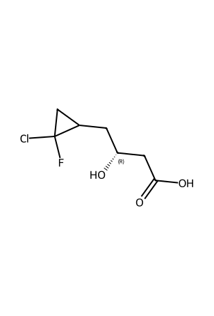 O=C(O)C[C@H](O)CC1CC1(F)Cl